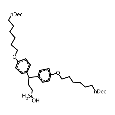 CCCCCCCCCCCCCCCCOc1ccc(C(CC[SiH2]O)c2ccc(OCCCCCCCCCCCCCCCC)cc2)cc1